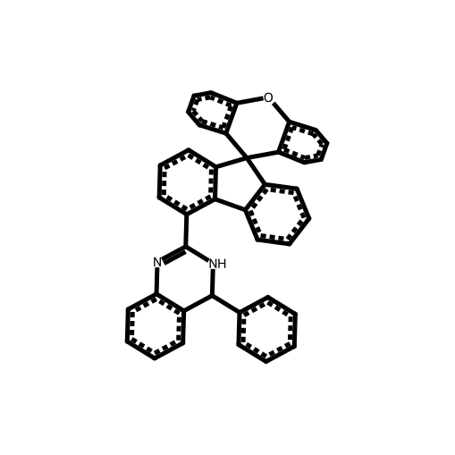 c1ccc(C2NC(c3cccc4c3-c3ccccc3C43c4ccccc4Oc4ccccc43)=Nc3ccccc32)cc1